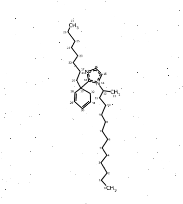 CCCCCCCCCCCCC(C)n1ccnc1C1(CCCCCCCC)C=CC=CC1